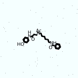 CC(=O)N(CCCCCCNC(=O)c1ccccc1)CCC(=O)Nc1ccc(O)cc1